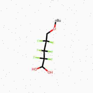 CCCCOCC(F)(F)C(F)(F)C(F)(F)C(O)O